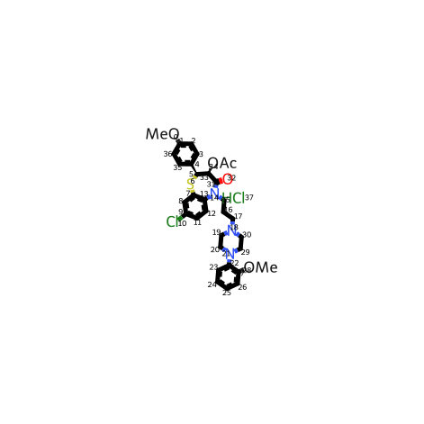 COc1ccc([C@@H]2Sc3cc(Cl)ccc3N(CCCN3CCN(c4ccccc4OC)CC3)C(=O)[C@@H]2OC(C)=O)cc1.Cl